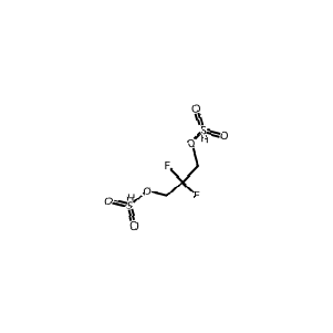 O=[SH](=O)OCC(F)(F)CO[SH](=O)=O